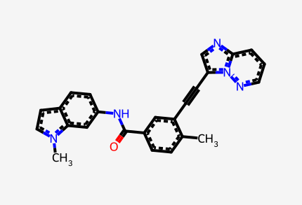 Cc1ccc(C(=O)Nc2ccc3ccn(C)c3c2)cc1C#Cc1cnc2cccnn12